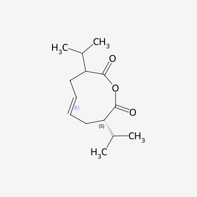 CC(C)C1C/C=C/C[C@@H](C(C)C)C(=O)OC1=O